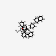 C[SH]1c2ccc3oc4cccc(N(c5ccccc5)c5ccc(-c6ccc7ccccc7c6)cc5)c4c3c2-c2ccc3ccccc3c21